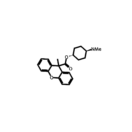 CN[C@H]1CC[C@H](OC(=O)C2(C)c3ccccc3Oc3ccccc32)CC1